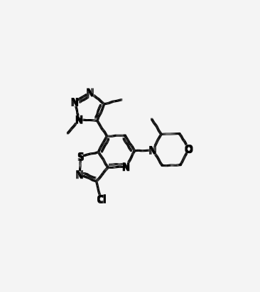 Cc1nnn(C)c1-c1cc(N2CCOCC2C)nc2c(Cl)nsc12